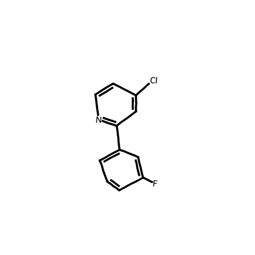 Fc1cccc(-c2cc(Cl)ccn2)c1